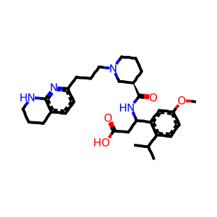 COc1ccc(C(C)C)c(C(CC(=O)O)NC(=O)[C@@H]2CCCN(CCCc3ccc4c(n3)NCCC4)C2)c1